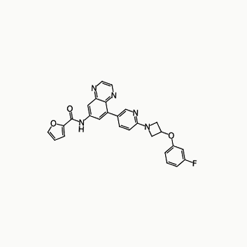 O=C(Nc1cc(-c2ccc(N3CC(Oc4cccc(F)c4)C3)nc2)c2nccnc2c1)c1ccco1